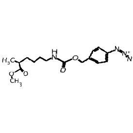 COC(=O)C(C)CCCCNC(=O)OCc1ccc(N=[N+]=[N-])cc1